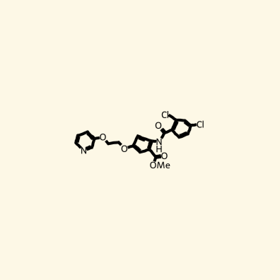 COC(=O)c1cc(OCCOc2cccnc2)ccc1NC(=O)c1ccc(Cl)cc1Cl